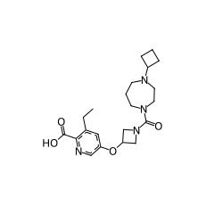 CCc1cc(OC2CN(C(=O)N3CCCN(C4CCC4)CC3)C2)cnc1C(=O)O